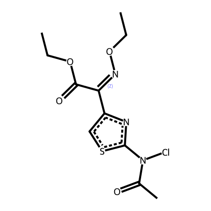 CCO/N=C(\C(=O)OCC)c1csc(N(Cl)C(C)=O)n1